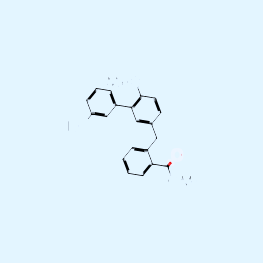 COC(=O)c1ccccc1Cc1ccc(OC)c(-c2cccc(C)c2)c1